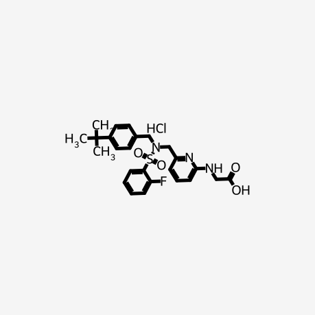 CC(C)(C)c1ccc(CN(Cc2cccc(NCC(=O)O)n2)S(=O)(=O)c2ccccc2F)cc1.Cl